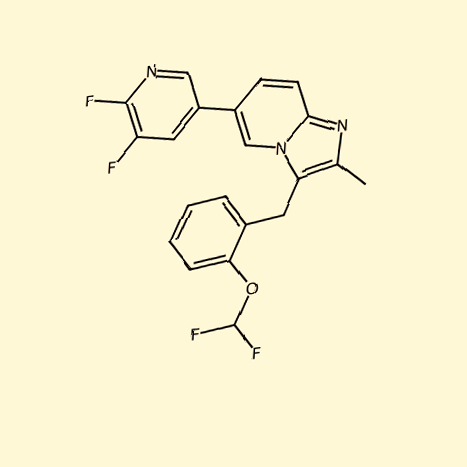 Cc1nc2ccc(-c3cnc(F)c(F)c3)cn2c1Cc1ccccc1OC(F)F